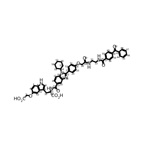 O=C(O)COc1ccc2[nH]cc(C[C@H](NC(=O)c3ccc4c(c3)nc(-c3ccc(OCC(=O)NCCNC(=O)c5ccc(C(=O)c6ccccc6)cc5)cc3)n4C3CCCCC3)C(=O)O)c2c1